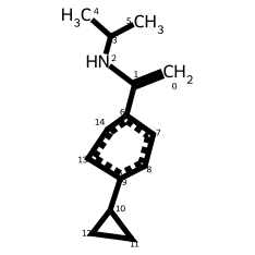 C=C(NC(C)C)c1ccc(C2CC2)cc1